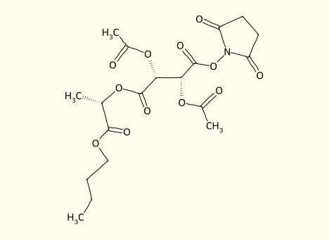 CCCCOC(=O)[C@H](C)OC(=O)[C@H](OC(C)=O)[C@@H](OC(C)=O)C(=O)ON1C(=O)CCC1=O